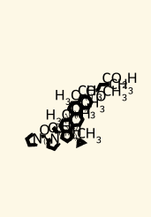 CC(C)(CC(=O)O[C@H]1CC[C@@]2(C)C(CC[C@]3(C)[C@@H]2CC[C@@H]2[C@H]4[C@H](C5(C)CC5)CC[C@]4(C(=O)N4CCC[C@H]4C(=O)N4CCCC4)CC[C@]23C)C1(C)C)C(=O)O